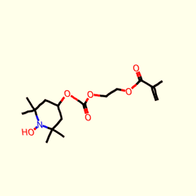 C=C(C)C(=O)OCCOC(=O)OC1CC(C)(C)N(O)C(C)(C)C1